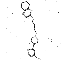 FC(F)(F)c1ccnc(N2CCN(CCCCOc3cnc4c(n3)CCCC4)CC2)c1